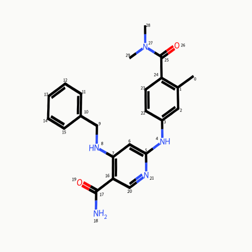 Cc1cc(Nc2cc(NCc3ccccc3)c(C(N)=O)cn2)ccc1C(=O)N(C)C